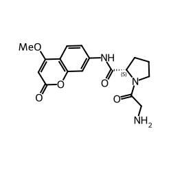 COc1cc(=O)oc2cc(NC(=O)[C@@H]3CCCN3C(=O)CN)ccc12